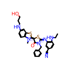 CCNc1ccc(C#N)cc1/N=C1/S/C(=C2\Sc3cc(NCCCO)ccc3N2C)C(=O)N1Cc1ccccc1